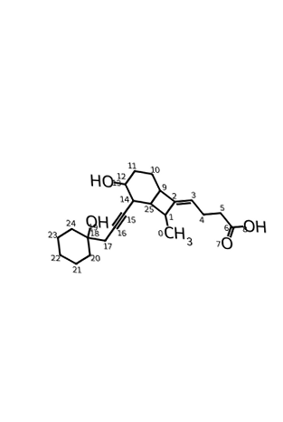 CC1/C(=C\CCC(=O)O)C2CCC(O)C(C#CCC3(O)CCCCC3)C12